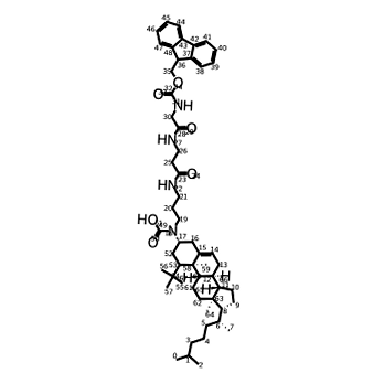 CC(C)CCC[C@@H](C)[C@H]1CC[C@H]2[C@@H]3CC=C4C[C@@H](N(CCCNC(=O)CCNC(=O)CNC(=O)OCC5c6ccccc6-c6ccccc65)C(=O)O)CC(C(C)(C)C)[C@]4(C)[C@H]3CC[C@]12C